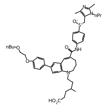 CCCCOCCOc1ccc(-c2ccc3c(c2)/C=C(/C(=O)Nc2ccc([S@@+]([O-])Cc4c(C)nc(C)n4CCC)cc2)CCCN3CCC(C)CCC(=O)O)cc1